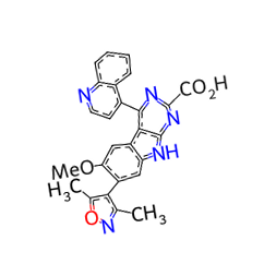 COc1cc2c(cc1-c1c(C)noc1C)[nH]c1nc(C(=O)O)nc(-c3ccnc4ccccc34)c12